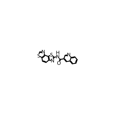 O=C(Nc1nc2ccc3scnc3c2s1)c1cnc2ccccc2c1